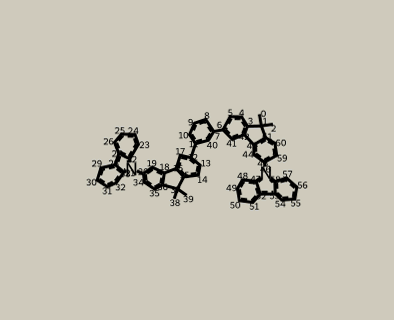 CC1(C)c2ccc(-c3cccc(-c4ccc5c(c4)-c4cc(-n6c7ccccc7c7ccccc76)ccc4C5(C)C)c3)cc2-c2cc(-n3c4ccccc4c4ccccc43)ccc21